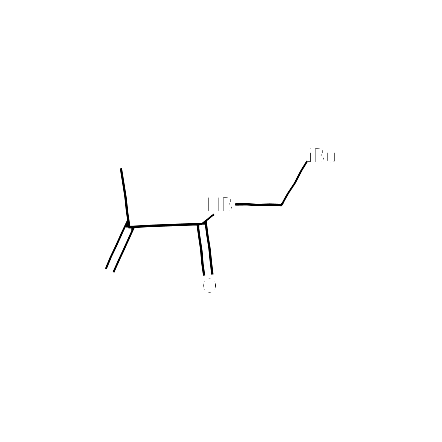 C=C(C)C(=O)BCC(C)CC